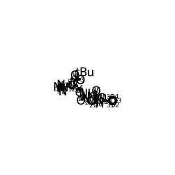 CC(C)(C)OC(=O)N1C[C@@H](n2ncnn2)C[C@H]1CONC(=O)[C@@H]1CC[C@@H]2CN1C(=O)N2OCc1ccccc1